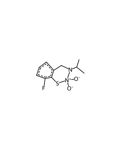 CC(C)N1Cc2cccc(F)c2S[N+]1([O-])[O-]